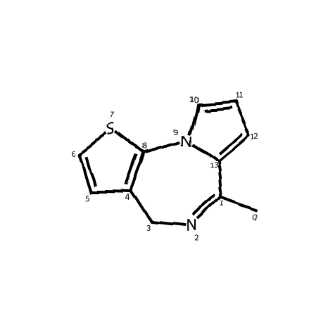 CC1=NCc2ccsc2-n2cccc21